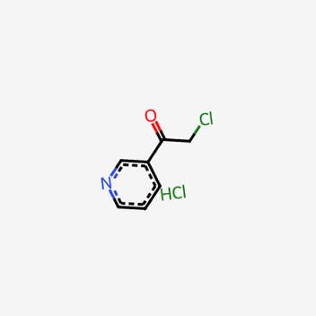 Cl.O=C(CCl)c1cccnc1